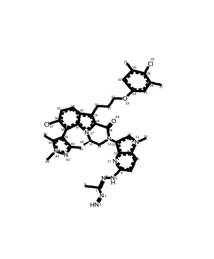 C/C(N=N)=N/Nc1ccc2c(n1)c(N1C[C@@H](C)n3c(c(CCCOc4cc(C)c(Cl)c(C)c4)c4ccc(Cl)c(-c5c(C)nn(C)c5C)c43)C1=O)cn2C